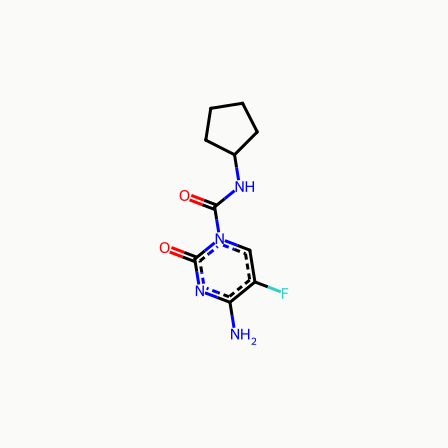 Nc1nc(=O)n(C(=O)NC2CCCC2)cc1F